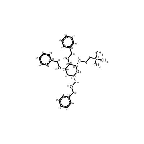 C[Si](C)(C)CCO[C@@H]1O[C@H](COCc2ccccc2)C[C@H](OCc2ccccc2)[C@H]1OCc1ccccc1